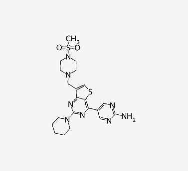 CS(=O)(=O)N1CCN(Cc2csc3c(-c4cnc(N)nc4)nc(N4CCCCC4)nc23)CC1